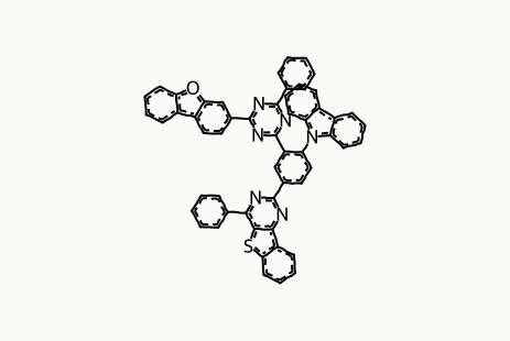 c1ccc(-c2nc(-c3ccc4c(c3)oc3ccccc34)nc(-c3cc(-c4nc(-c5ccccc5)c5sc6ccccc6c5n4)ccc3-n3c4ccccc4c4ccccc43)n2)cc1